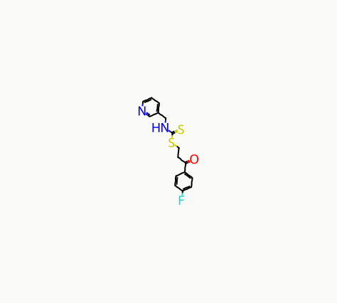 O=C(CCSC(=S)NCc1cccnc1)c1ccc(F)cc1